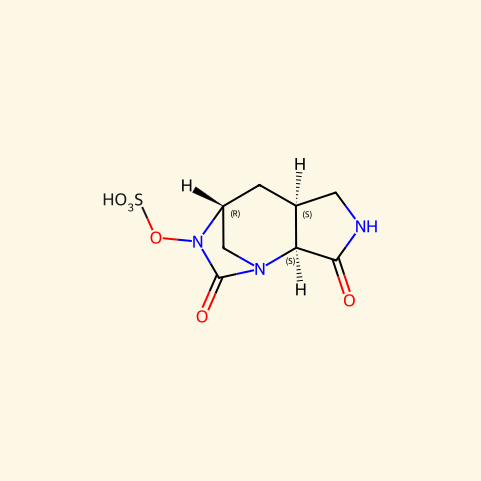 O=C1NC[C@@H]2C[C@@H]3CN(C(=O)N3OS(=O)(=O)O)[C@H]12